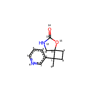 CC1(c2cccnc2)CCC12CNC(=O)O2